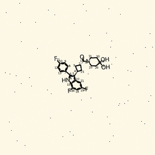 O=C([C@H]1C[C@H](c2c(-c3ccc(F)cc3)[nH]c3c(F)cc(F)cc32)C1)N1CCC(O)(O)CC1